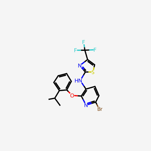 CC(C)c1ccccc1Oc1nc(Br)ccc1Nc1nc(C(F)(F)F)cs1